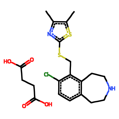 Cc1nc(SCc2c(Cl)ccc3c2CCNCC3)sc1C.O=C(O)CCC(=O)O